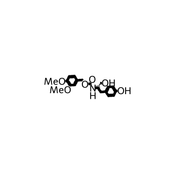 COc1ccc(COC(=O)N[C@H](CO)Cc2ccc(O)cc2)cc1OC